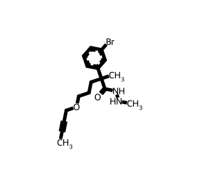 CC#CCOCCCC(C)(C(=O)NNC)c1cccc(Br)c1